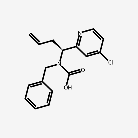 C=CC[C@@H](c1cc(Cl)ccn1)N(Cc1ccccc1)C(=O)O